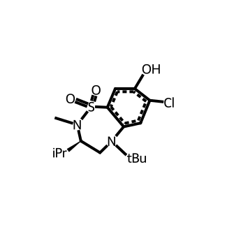 CC(C)[C@@H]1CN(C(C)(C)C)c2cc(Cl)c(O)cc2S(=O)(=O)N1C